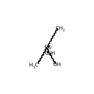 CCCCCCCCCCCCCC(=O)OC(CCCCCCCCCCC)CC(=O)NCCCCCCO